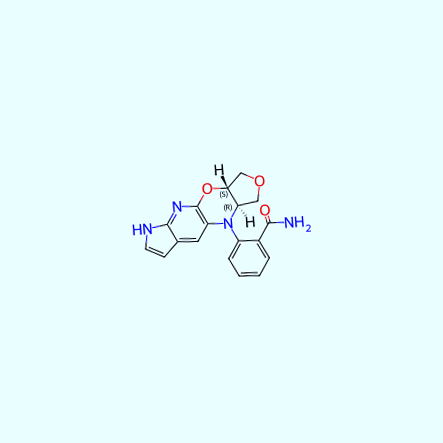 NC(=O)c1ccccc1N1c2cc3cc[nH]c3nc2O[C@@H]2COC[C@H]21